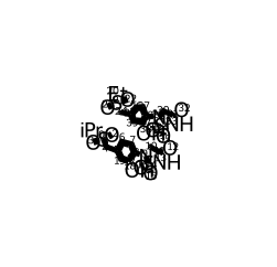 CC(C)S(=O)(=O)Cc1ccc(N2CC(=O)NS2(=O)=O)c(O)c1.CCS(=O)(=O)Cc1ccc(N2CC(=O)NS2(=O)=O)c(O)c1